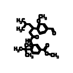 COC(=O)c1ccc(C(C)(C)C)c(NC(=O)CC(CC(C)C)c2ccc(C=O)cc2OC)c1